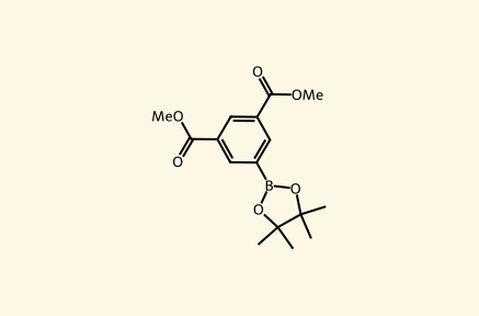 COC(=O)c1cc(B2OC(C)(C)C(C)(C)O2)cc(C(=O)OC)c1